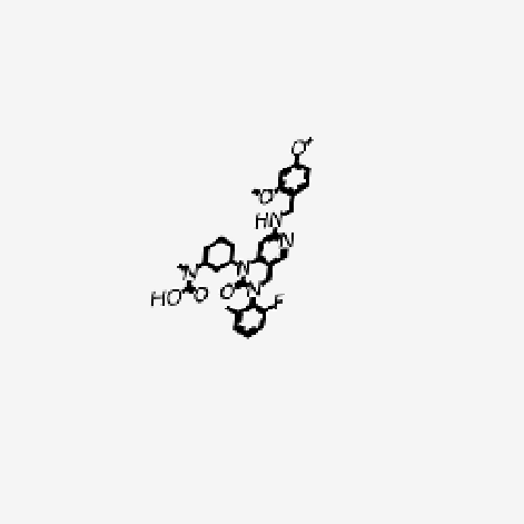 COc1ccc(CNc2cc3c(cn2)CN(c2c(C)cccc2F)C(=O)N3C2CCCC(N(C)C(=O)O)C2)c(OC)c1